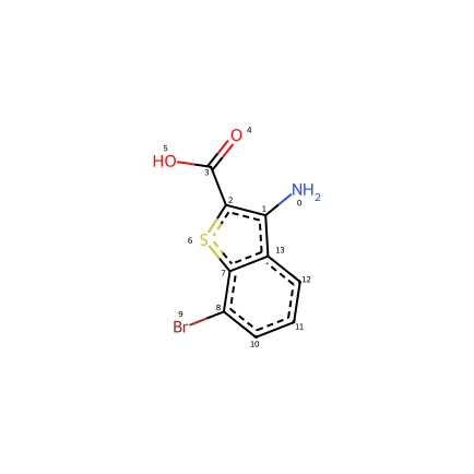 Nc1c(C(=O)O)sc2c(Br)cccc12